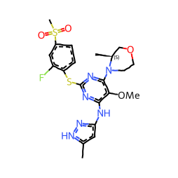 COc1c(Nc2cc(C)[nH]n2)nc(Sc2ccc(S(C)(=O)=O)cc2F)nc1N1CCOC[C@@H]1C